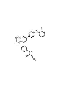 C=CC(=O)Nc1cccc(-c2cc(-c3ccc(Oc4ccccc4F)nc3)cc3cncnc23)c1